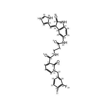 O=C(CCNC(=O)c1cccn(Cc2ccc(F)c(F)c2)c1=O)Nc1ccc2c(c1)/C(=C/c1cnc[nH]1)C(=O)N2